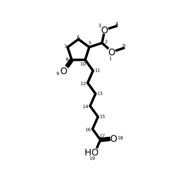 COC(OC)C1CCC(=O)C1CCCCCCC(=O)O